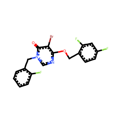 O=c1c(Br)c(OCc2ccc(F)cc2F)ncn1Cc1ccccc1F